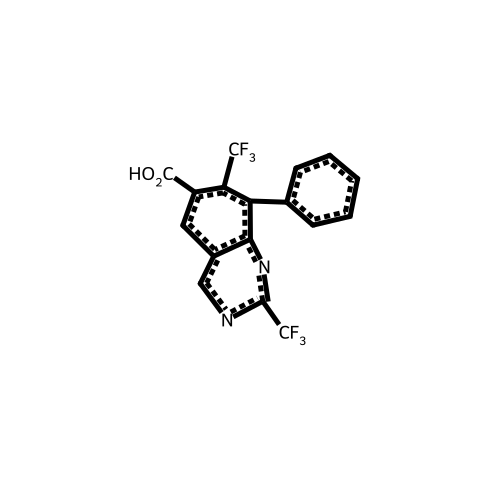 O=C(O)c1cc2cnc(C(F)(F)F)nc2c(-c2ccccc2)c1C(F)(F)F